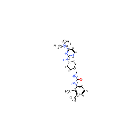 Cc1c(NC(=O)NC[C@H]2CC[C@@H](Nc3nccc(N(C)C)n3)CC2)cccc1[N+](=O)[O-]